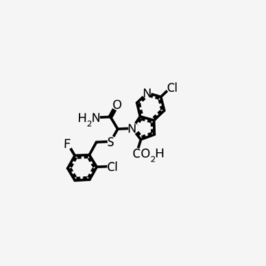 NC(=O)C(SCc1c(F)cccc1Cl)n1c(C(=O)O)cc2cc(Cl)ncc21